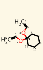 C=COC1(OC=C)CCCCC1